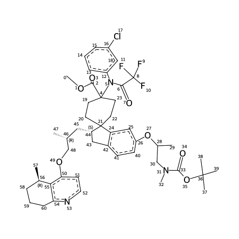 COC(=O)C1(N(C(=O)C(F)(F)F)c2cccc(Cl)c2)CCC2(CC1)c1cc(OC(C)CN(C)C(=O)OC(C)(C)C)ccc1C[C@@H]2C[C@@H](C)COc1ccnc2c1[C@H](C)CCC2